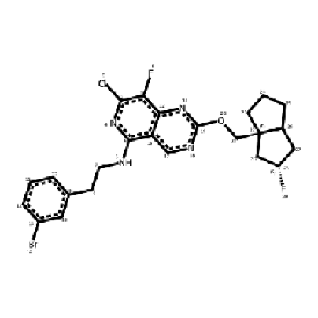 Fc1c(Cl)nc(NCCc2cccc(Br)c2)c2cnc(OC[C@@]34CCCC3C[C@H](F)C4)nc12